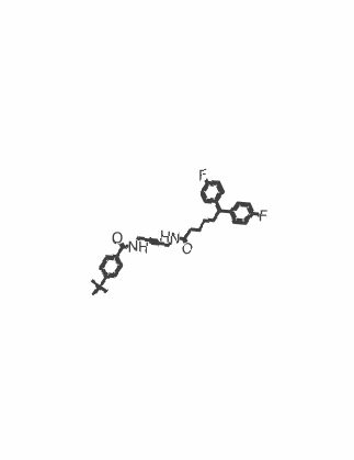 CC(C)(C)c1ccc(C(=O)NCC#CCNC(=O)CCCCC(c2ccc(F)cc2)c2ccc(F)cc2)cc1